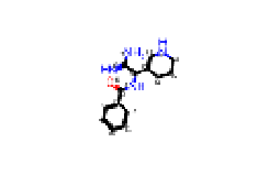 N=C(N)C(NC(=O)c1ccccc1)C1CCCNC1